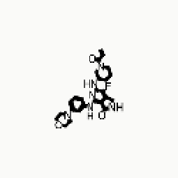 C=CC(=O)N1CCCC(Nc2nc(Nc3cccc(N4CCOCC4)c3)c3c(c2F)CNC3=O)C1